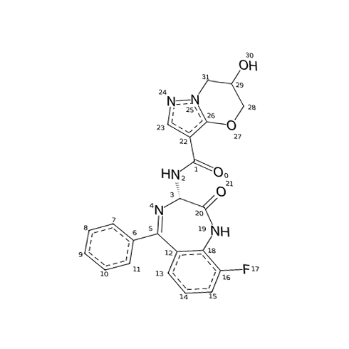 O=C(N[C@H]1N=C(c2ccccc2)c2cccc(F)c2NC1=O)c1cnn2c1OCC(O)C2